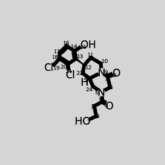 O=C(CCO)N1CC(=O)N2CC[C@H](c3c(O)ccc(Cl)c3Cl)C[C@@H]2C1